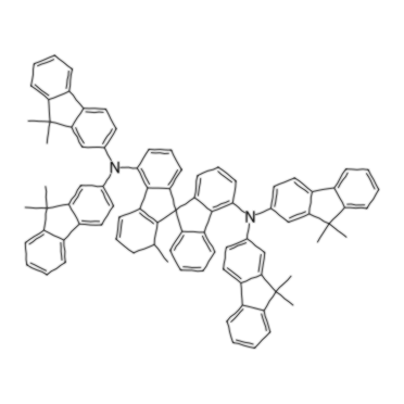 CC1CC=CC2=C1C1(c3ccccc3-c3c(N(c4ccc5c(c4)C(C)(C)c4ccccc4-5)c4ccc5c(c4)C(C)(C)c4ccccc4-5)cccc31)c1cccc(N(c3ccc4c(c3)C(C)(C)c3ccccc3-4)c3ccc4c(c3)C(C)(C)c3ccccc3-4)c12